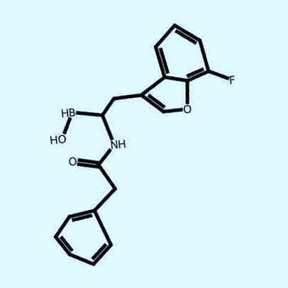 O=C(Cc1ccccc1)NC(BO)Cc1coc2c(F)cccc12